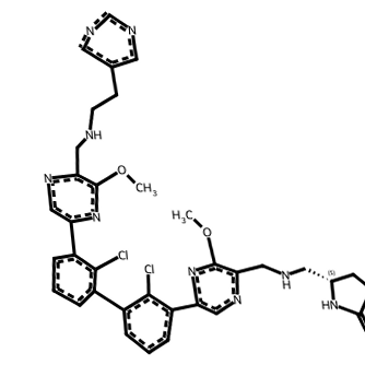 COc1nc(-c2cccc(-c3cccc(-c4cnc(CNC[C@@H]5CCC(=O)N5)c(OC)n4)c3Cl)c2Cl)cnc1CNCCc1cncnc1